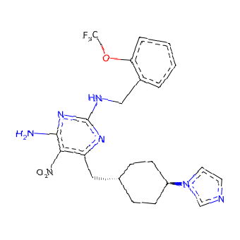 Nc1nc(NCc2ccccc2OC(F)(F)F)nc(C[C@H]2CC[C@H](n3ccnc3)CC2)c1[N+](=O)[O-]